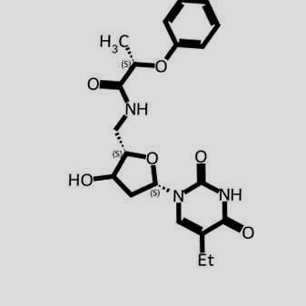 CCc1cn([C@@H]2CC(O)[C@H](CNC(=O)[C@H](C)Oc3ccccc3)O2)c(=O)[nH]c1=O